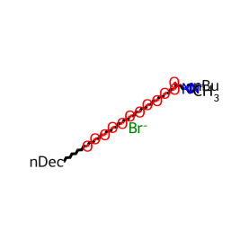 CCCCCCCCCCCCCCCCCCOCCOCCOCCOCCOCCOCCOCCOCCOCCOCCOC(=O)CCN1CC[N+](C)(CCCC)CC1.[Br-]